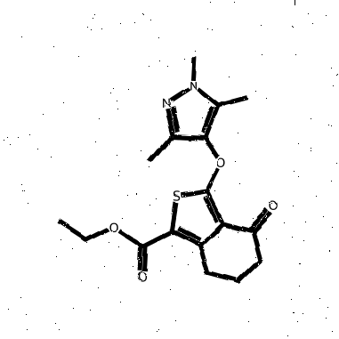 CCOC(=O)c1sc(Oc2c(C)nn(C)c2C)c2c1CCCC2=O